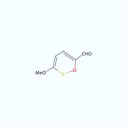 COC1=CC=C(C=O)OS1